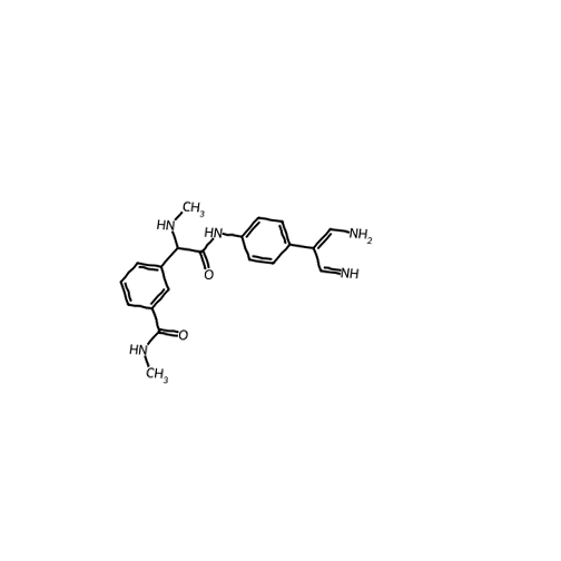 CNC(=O)c1cccc(C(NC)C(=O)Nc2ccc(/C(C=N)=C/N)cc2)c1